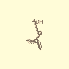 CCOCOc1cc(C=Cc2cccc(CCCCCC(O)C(C)C)c2)cc(OCOCC)c1